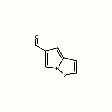 O=Cc1cc2ccsn2c1